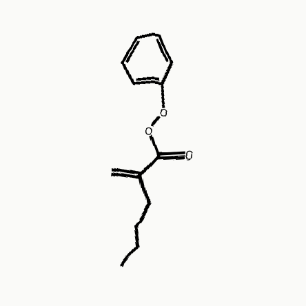 C=C(CCCC)C(=O)OOc1ccccc1